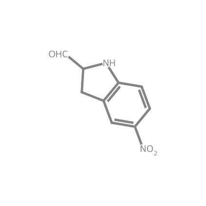 O=CC1Cc2cc([N+](=O)[O-])ccc2N1